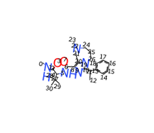 CNC(=O)C(NC(=O)c1nc(C(C)c2ccccc2)n2c1CN(C)CCC2)C(C)(C)C